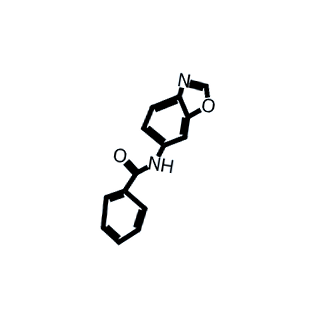 O=C(Nc1ccc2ncoc2c1)c1ccccc1